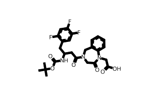 CC(C)(C)OC(=O)NC(CC(=O)N1CC(=O)N(CC(=O)O)c2ccccc2C1)Cc1cc(F)c(F)cc1F